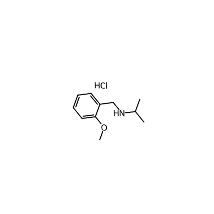 COc1ccccc1CNC(C)C.Cl